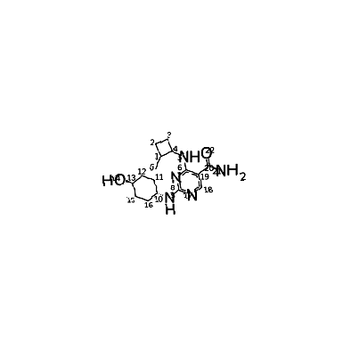 CC1CCC1Nc1nc(N[C@H]2CC[C@H](O)CC2)ncc1C(N)=O